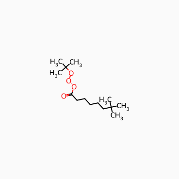 CC(C)(C)CCCCCC(=O)OOOC(C)(C)C